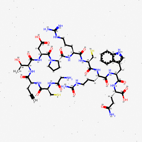 C#CC[C@H](NC(=O)[C@H](CS)NC(=O)CN)C(=O)N[C@H](C(=O)N[C@@H](CC(=O)O)C(=O)N1CCC[C@H]1C(=O)N[C@@H](CCCNC(=N)N)C(=O)N[C@@H](CS)C(=O)N[C@@H](CCCNC(N)=O)C(=O)N[C@@H](Cc1c[nH]c2ccccc12)C(=O)N[C@@H](CCC(N)=O)C(=O)O)[C@@H](C)O